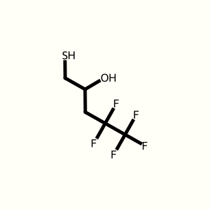 OC(CS)CC(F)(F)C(F)(F)F